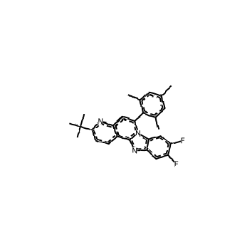 Cc1cc(C)c(-c2cc3nc(C(C)(C)C)ccc3c3nc4cc(F)c(F)cc4n23)c(C)c1